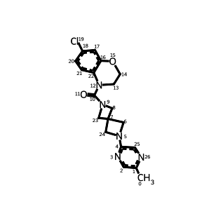 Cc1cnc(N2CC3(CN(C(=O)N4CCOc5cc(Cl)ccc54)C3)C2)cn1